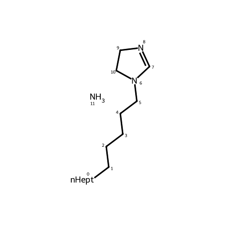 CCCCCCCCCCCCN1C=NCC1.N